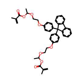 C=C(C)C(=O)OC(C)OCCOc1ccc(C2(c3ccc(OCCOC(C)OC(=O)C(=C)C)cc3)c3ccccc3-c3ccccc32)cc1